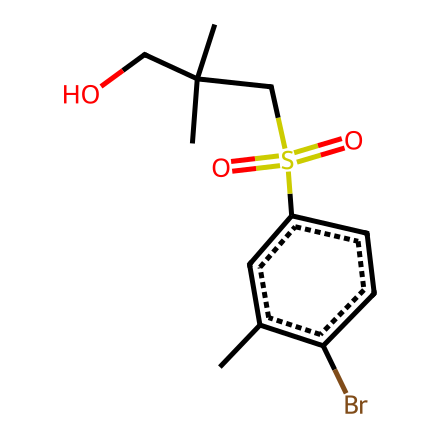 Cc1cc(S(=O)(=O)CC(C)(C)CO)ccc1Br